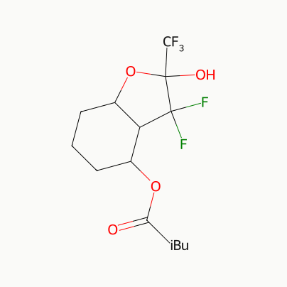 CCC(C)C(=O)OC1CCCC2OC(O)(C(F)(F)F)C(F)(F)C12